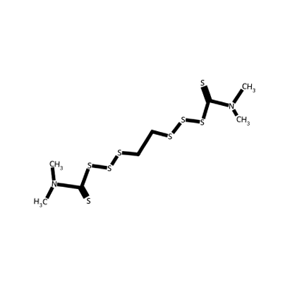 CN(C)C(=S)SSSCCSSSC(=S)N(C)C